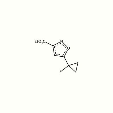 CCOC(=O)c1cc(C2(F)CC2)on1